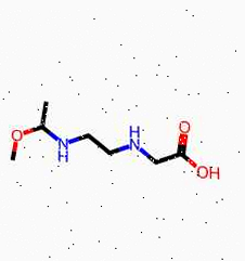 COC(C)NCCNCC(=O)O